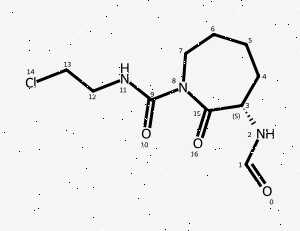 O=CN[C@H]1CCCCN(C(=O)NCCCl)C1=O